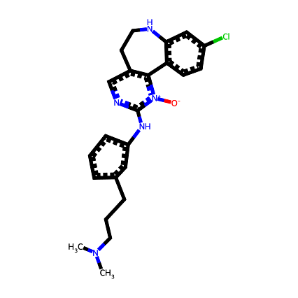 CN(C)CCCc1cccc(Nc2ncc3c([n+]2[O-])-c2ccc(Cl)cc2NCC3)c1